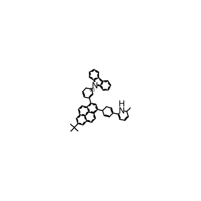 CC1C=CC=C(C2=CCC(c3cc(C4=C[C@H](n5c6ccccc6c6ccccc65)CC=C4)c4ccc5cc(C(C)(C)C)cc6ccc3c4c56)C=C2)N1